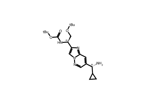 CC(C)(C)OC[C@H](NC(=O)OC(C)(C)C)c1cn2ncc([C@H](N)C3CC3)cc2n1